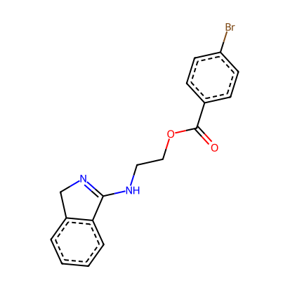 O=C(OCCNC1=NCc2ccccc21)c1ccc(Br)cc1